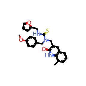 COc1ccc(CN(Cc2cc3cccc(C)c3[nH]c2=O)C(=S)NCc2ccco2)cc1